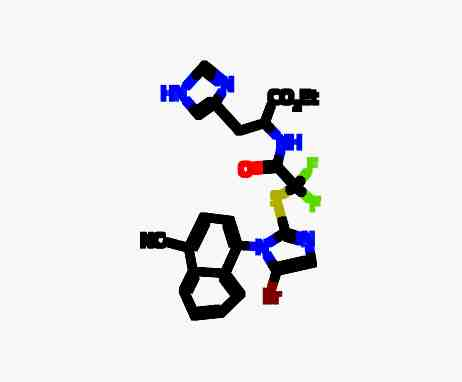 CCOC(=O)C(Cc1c[nH]cn1)NC(=O)C(F)(F)Sc1ncc(Br)n1-c1ccc(C#N)c2ccccc12